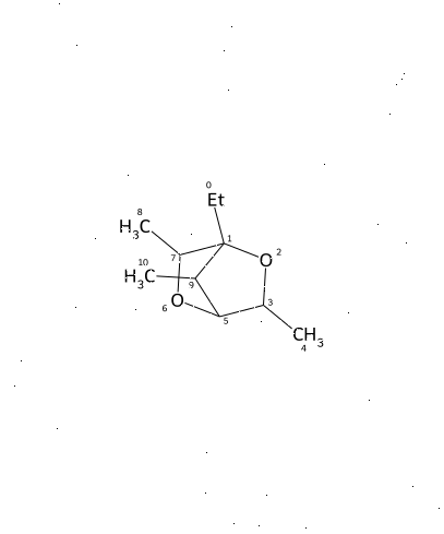 CCC12OC(C)C(OC1C)C2C